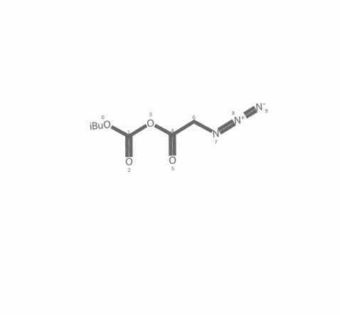 CC(C)COC(=O)OC(=O)CN=[N+]=[N-]